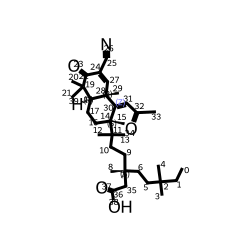 CCC(C)(C)CC[C@@](C)(CCC(C)(C)[C@]1(C)CC[C@H]2C(C)(C)C(=O)C(C#N)=C[C@]2(C)/C1=C/C(C)=O)CC(=O)O